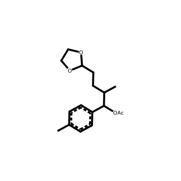 CC(=O)OC(c1ccc(C)cc1)C(C)CCC1OCCO1